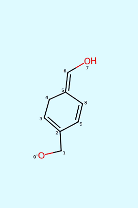 [O]CC1=CCC(=CO)C=C1